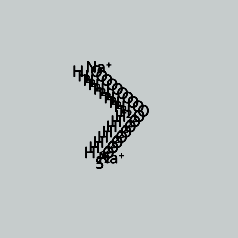 O.O.O.O.O.O.O.O.O.O.O.O.O.O.O.O.O.O.[Na+].[Na+].[S-2]